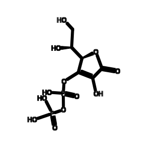 O=C1O[C@H]([C@@H](O)CO)C(OP(=O)(O)OP(=O)(O)O)=C1O